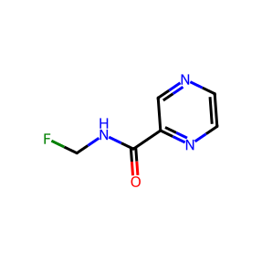 O=C(NCF)c1cnccn1